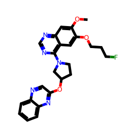 COc1cc2ncnc(N3CCC(Oc4cnc5ccccc5n4)C3)c2cc1OCCCF